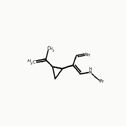 C=C(C)C1CC1/C(C=N)=C/NC(C)C